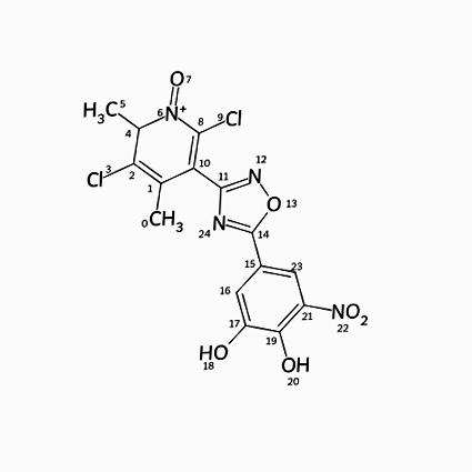 CC1=C(Cl)C(C)[N+](=O)C(Cl)=C1c1noc(-c2cc(O)c(O)c([N+](=O)[O-])c2)n1